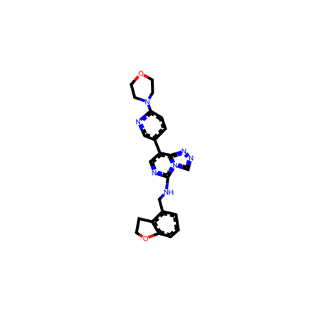 c1cc(CNc2ncc(-c3ccc(N4CCOCC4)nc3)c3nncn23)c2c(c1)OCC2